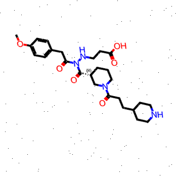 COc1ccc(CC(=O)N(NCCC(=O)O)C(=O)[C@@H]2CCCN(C(=O)CCC3CCNCC3)C2)cc1